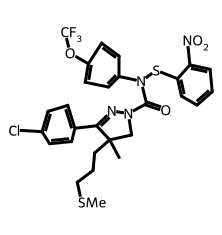 CSCCCC1(C)CN(C(=O)N(Sc2ccccc2[N+](=O)[O-])c2ccc(OC(F)(F)F)cc2)N=C1c1ccc(Cl)cc1